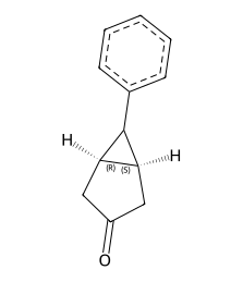 O=C1C[C@@H]2C(c3ccccc3)[C@@H]2C1